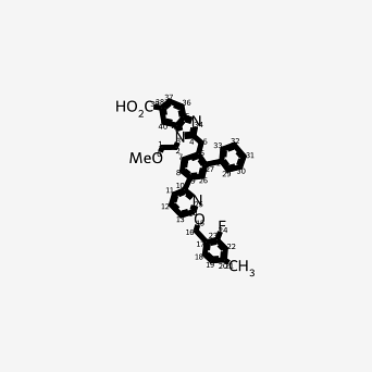 COCCn1c(Cc2ccc(-c3cccc(OCc4ccc(C)cc4F)n3)cc2-c2ccccc2)nc2ccc(C(=O)O)cc21